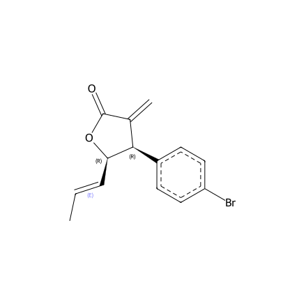 C=C1C(=O)O[C@H](/C=C/C)[C@@H]1c1ccc(Br)cc1